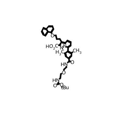 Cc1cc(C(=O)NCCOCCNC(=O)OC(C)(C)C)cc(C)c1-c1cccc2c(CCCOc3cccc4ccccc34)c(C(=O)O)nn12